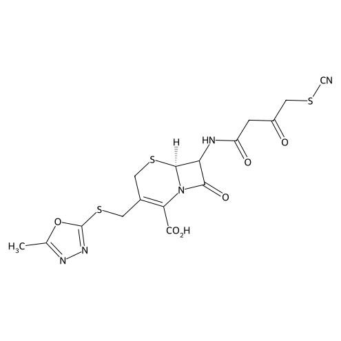 Cc1nnc(SCC2=C(C(=O)O)N3C(=O)C(NC(=O)CC(=O)CSC#N)[C@@H]3SC2)o1